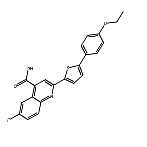 CCOc1ccc(-c2ccc(-c3cc(C(=O)O)c4cc(F)ccc4n3)s2)cc1